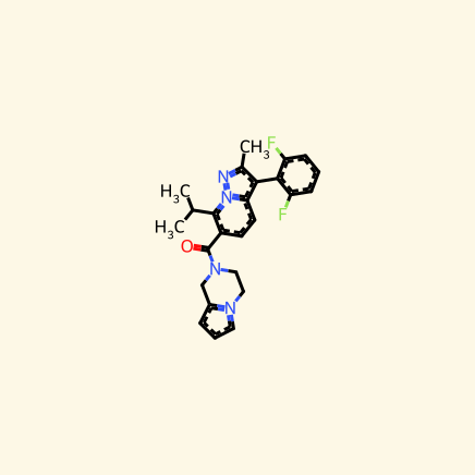 Cc1nn2c(C(C)C)c(C(=O)N3CCn4cccc4C3)ccc2c1-c1c(F)cccc1F